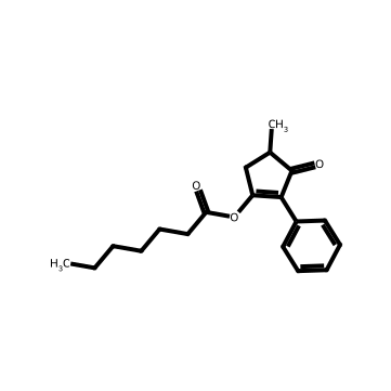 CCCCCCC(=O)OC1=C(c2ccccc2)C(=O)C(C)C1